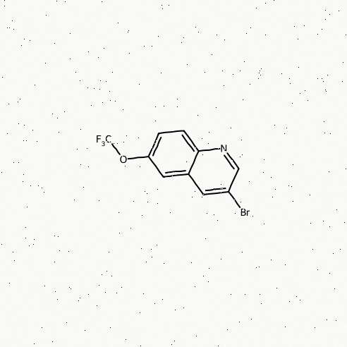 FC(F)(F)Oc1ccc2ncc(Br)cc2c1